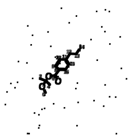 COC(C)(C)OC(=O)c1ccc(CCI)cc1